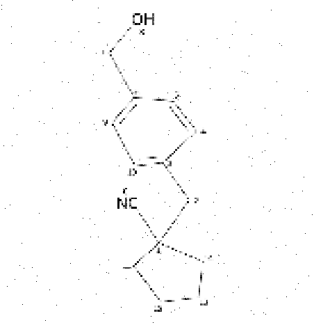 N#CC1(Cc2ccc(CO)cc2)CCCC1